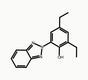 CCc1cc(CC)c(O)c(-n2nc3ccccc3n2)c1